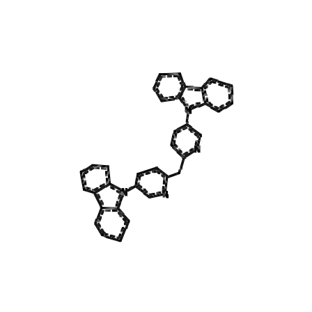 c1ccc2c(c1)c1ccccc1n2-c1ccc(Cc2ccc(-n3c4ccccc4c4ccccc43)cn2)nc1